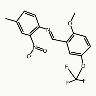 COc1ccc(OC(F)(F)F)cc1C=Nc1ccc(C)cc1[N+](=O)[O-]